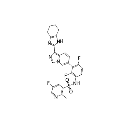 Cc1ncc(F)cc1S(=O)(=O)Nc1ccc(F)c(-c2ccc3c(-c4nc5c([nH]4)CCCC5)ncn3c2)c1F